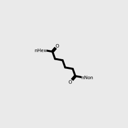 CCCCCCCCCC(=O)CCCCC(=O)CCCCCC